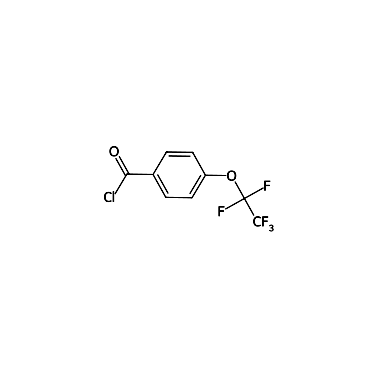 O=C(Cl)c1ccc(OC(F)(F)C(F)(F)F)cc1